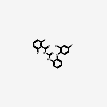 O=C(NC(=O)c1c(F)cccc1Cl)Nc1ccccc1Oc1ccc(Cl)cc1Cl